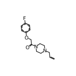 C=CCN1CCN(C(=O)COc2ccc(F)cc2)CC1